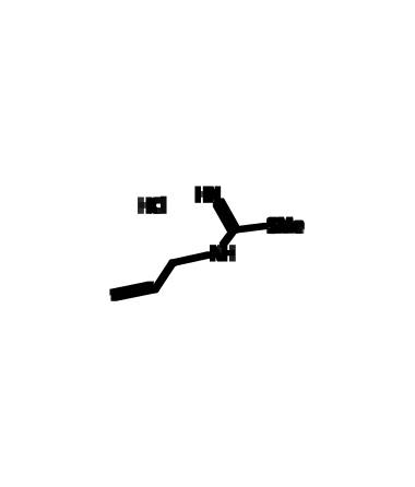 C=CCNC(=N)SC.Cl